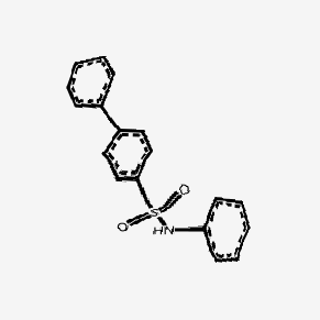 O=S(=O)(Nc1ccccc1)c1ccc(-c2ccccc2)cc1